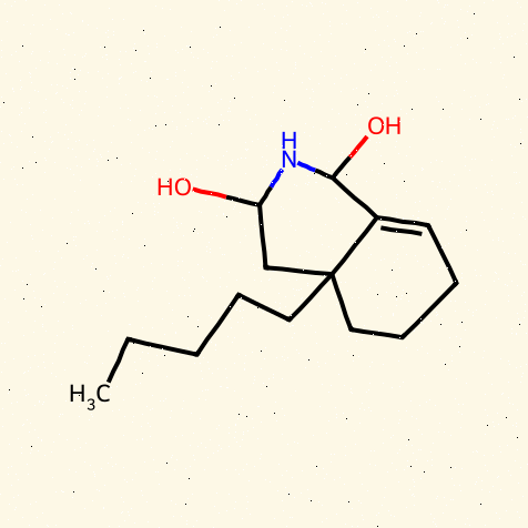 CCCCCC12CCCC=C1C(O)NC(O)C2